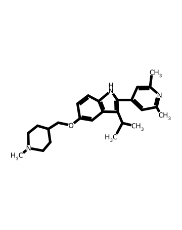 Cc1cc(-c2[nH]c3ccc(OCC4CCN(C)CC4)cc3c2C(C)C)cc(C)n1